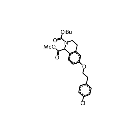 COC(=O)C1c2ccc(OCCc3ccc(Cl)cc3)cc2CCN1C(=O)OCC(C)C